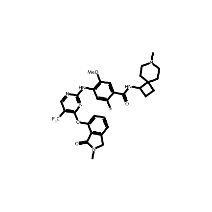 COc1cc(C(=O)NC2CCC23CCN(C)CC3)c(F)cc1Nc1ncc(C(F)(F)F)c(Oc2cccc3c2C(=O)N(C)C3)n1